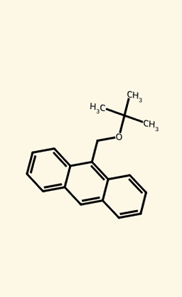 CC(C)(C)OCc1c2ccccc2cc2ccccc12